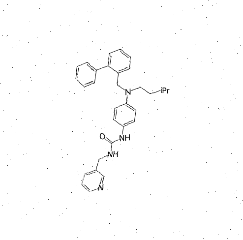 CC(C)CCN(Cc1ccccc1-c1ccccc1)c1ccc(NC(=O)NCc2cccnc2)cc1